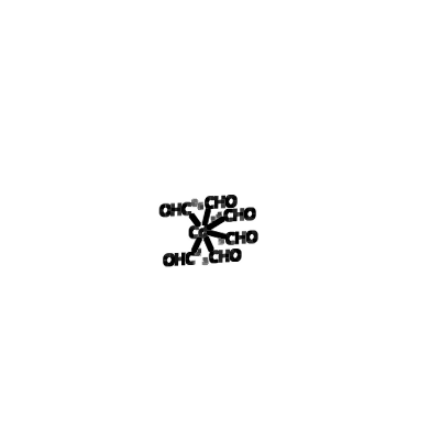 O=[CH][Cd]([CH]=O)([CH]=O)([CH]=O)([CH]=O)[CH]=O